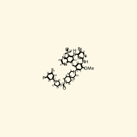 COc1cc(N2CCC3(CCN(C(=O)[C@@H]4CCN(c5cc(F)cc(F)c5)C4)CC3)CC2)c(C)cc1Nc1ncc(Br)c(Nc2ccc3nccnc3c2P(C)(C)=O)n1